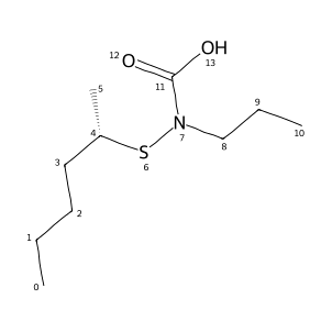 CCCC[C@H](C)SN(CCC)C(=O)O